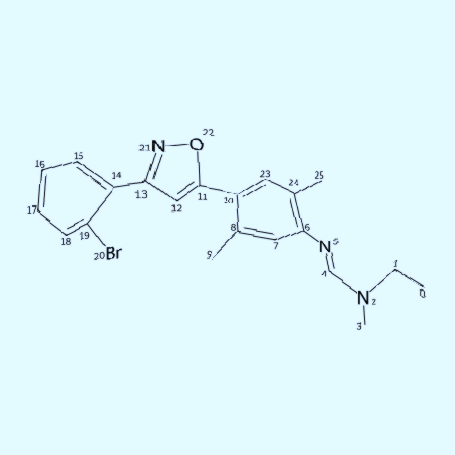 CCN(C)C=Nc1cc(C)c(-c2cc(-c3ccccc3Br)no2)cc1C